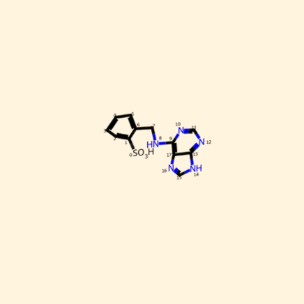 O=S(=O)(O)c1ccccc1CNc1ncnc2[nH]cnc12